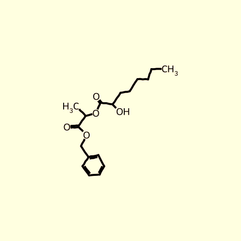 CCCCCCC(O)C(=O)OC(C)C(=O)OCc1ccccc1